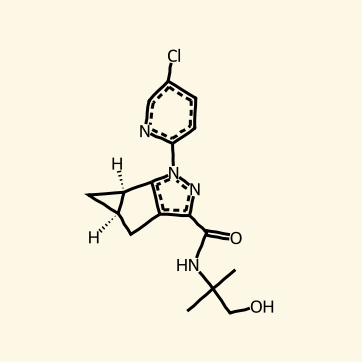 CC(C)(CO)NC(=O)c1nn(-c2ccc(Cl)cn2)c2c1C[C@H]1C[C@@H]21